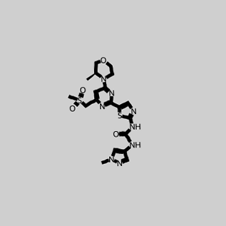 C[C@H]1COCCN1c1cc(CS(C)(=O)=O)nc(-c2cnc(NC(=O)Nc3cnn(C)c3)s2)n1